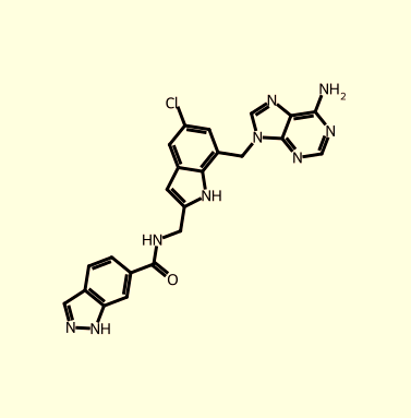 Nc1ncnc2c1ncn2Cc1cc(Cl)cc2cc(CNC(=O)c3ccc4cn[nH]c4c3)[nH]c12